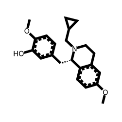 COc1ccc2c(c1)CCN(CC1CC1)[C@H]2Cc1ccc(OC)c(O)c1